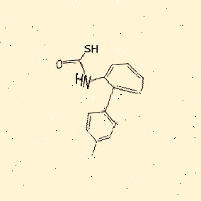 Cc1ccc(-c2ccccc2NC(=O)S)cc1